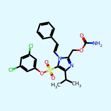 CC(C)c1nc(COC(N)=O)n(C=Cc2ccccc2)c1S(=O)(=O)Oc1cc(Cl)cc(Cl)c1